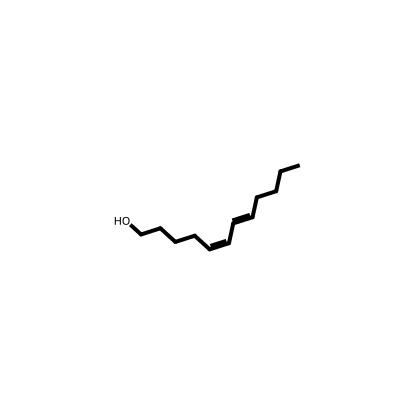 CCCC/C=C/C=C\CCCCO